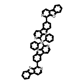 c1ccc([Si](c2ccccc2)(c2nccc3c2sc2ccc(-c4nccc5c4oc4ccccc45)cc23)c2nccc3c2sc2ccc(-c4nccc5c4sc4ccccc45)cc23)cc1